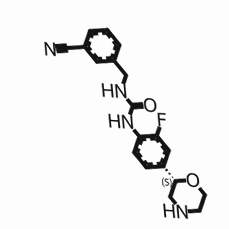 N#Cc1cccc(CNC(=O)Nc2ccc([C@H]3CNCCO3)cc2F)c1